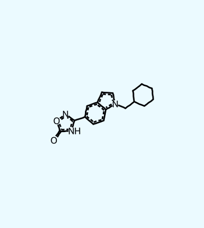 O=c1[nH]c(-c2ccc3c(ccn3CC3CCCCC3)c2)no1